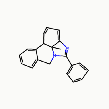 CC12C3=CC=CC1c1ccccc1CN2C(c1ccccc1)=N3